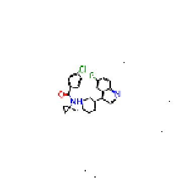 O=C(NC1(C[C@H]2CC[C@H](c3ccnc4ccc(F)cc43)CC2)CC1)c1ccc(Cl)cc1